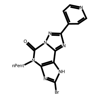 CCCCCn1c(=O)n2nc(-c3ccncc3)nc2c2[nH]c(Br)nc21